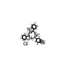 CN1CC(c2ccccc2)N(C)CC(c2ccccc2)[N]([Ti+3])CC1c1ccccc1.[Cl-].[Cl-].[Cl-]